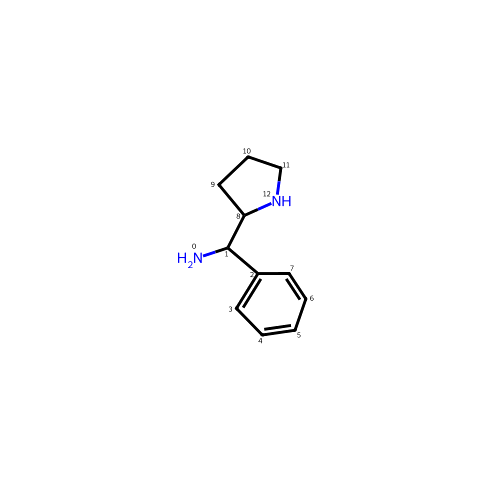 NC(c1ccccc1)C1CCCN1